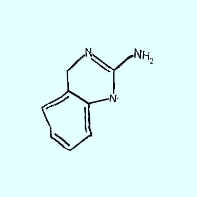 NC1=NCc2ccccc2[N]1